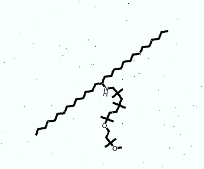 CCCCCCCCCCCCCCC(CCCCCCCCCCCCCC)NCC(C)(C)CC(C)(C)CCC(C)(C)OCCC(C)(C)OC